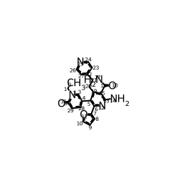 CCn1cc(-c2c(-c3ccco3)nc(N)c(C(N)=O)c2CCc2ccncc2)ccc1=O